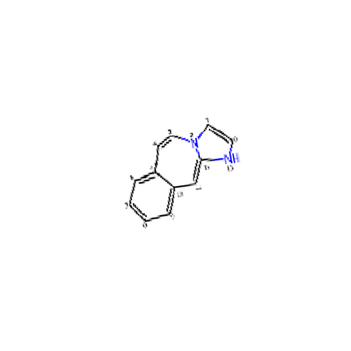 C1=CN2C=Cc3ccccc3C=C2N1